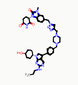 Cn1c(=O)n([C@H]2CCC(=O)NC2=O)c2ccc(Cn3cc(CN4CCN(Cc5ccc(-c6cn([C@H]7CC[C@H](O)CC7)c7nc(NCCC(F)(F)F)ncc67)cc5)CC4)nn3)cc21